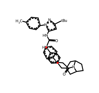 Cc1ccc(-n2nc(C(C)(C)C)cc2NC(=O)Nc2ccc(CC3CC4CCC(C3)N4C(=O)CNc3ccccc3)cc2)cc1